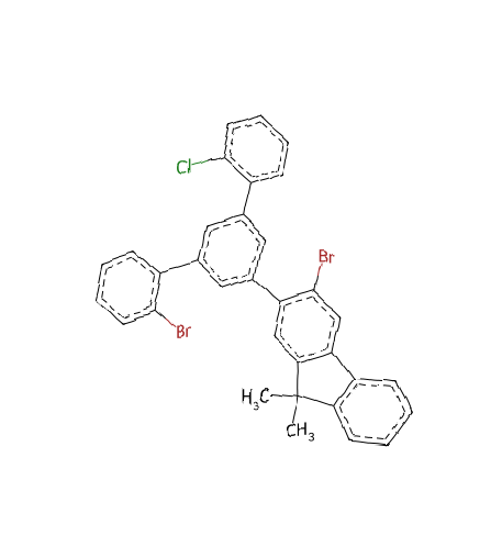 CC1(C)c2ccccc2-c2cc(Br)c(-c3cc(-c4ccccc4Cl)cc(-c4ccccc4Br)c3)cc21